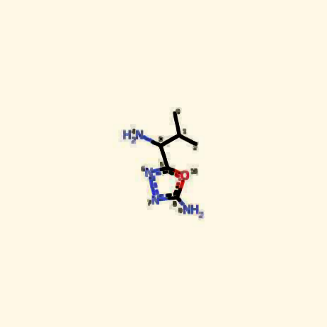 CC(C)C(N)c1nnc(N)o1